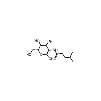 CC(C)CCC(=O)NC1C(O)OC(CO)C(O)C1O